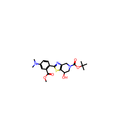 COC(=O)c1cc(N(C)C)ccc1-c1nc2c(s1)C(O)CN(C(=O)OC(C)(C)C)C2